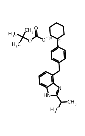 CC(C)c1nc2c(Cc3ccc([C@@H]4CCCC[C@H]4OC(=O)OC(C)(C)C)cc3)cccc2[nH]1